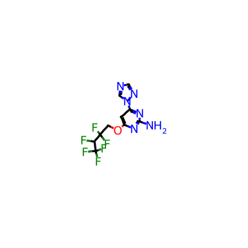 Nc1nc(OCC(F)(F)C(F)C(F)(F)F)cc(-n2cncn2)n1